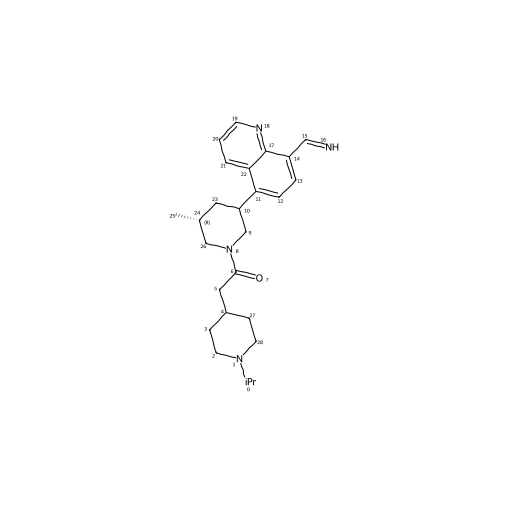 CC(C)N1CCC(CC(=O)N2CC(c3ccc(C=N)c4ncccc34)C[C@@H](C)C2)CC1